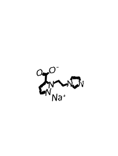 O=C([O-])c1ccnn1CCn1ccnc1.[Na+]